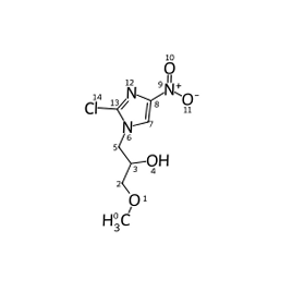 COCC(O)Cn1cc([N+](=O)[O-])nc1Cl